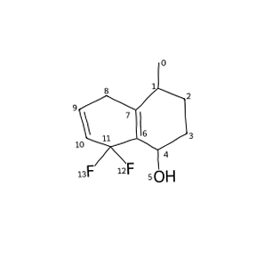 CC1CCC(O)C2=C1CC=CC2(F)F